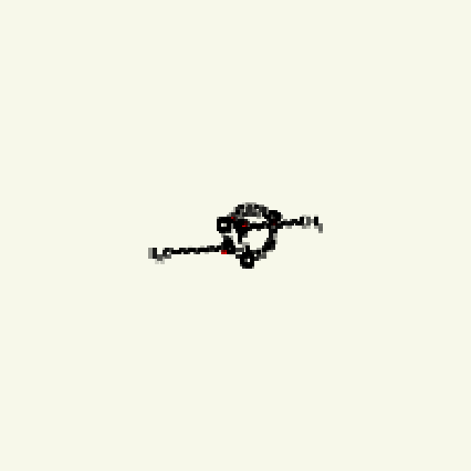 CCCCCCCCCCCCOc1c2cccc1Cc1cccc3c1OCCOCCOc1ccccc1OCCOCCOc1c(cccc1Cc1cccc(c1OCCCCCCCCCCCC)C3)C2